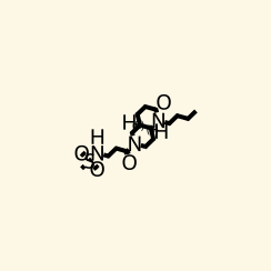 CCCCN1C(=O)CC[C@@H]2CN(C(=O)CCNS(C)(=O)=O)CC[C@@H]21